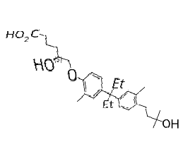 CCC(CC)(c1ccc(CCC(C)(C)O)c(C)c1)c1ccc(OC[C@@H](O)CCCC(=O)O)c(C)c1